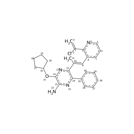 C=C(Cl)c1ncccc1/C=C(\C)c1nc(OC2CCCC2)c(N)nc1-c1ccccc1